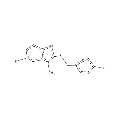 Cn1c(SCc2ccc(F)cc2)nc2ccc(F)cc21